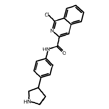 O=C(Nc1ccc(C2CCNC2)cc1)c1cc2ccccc2c(Cl)n1